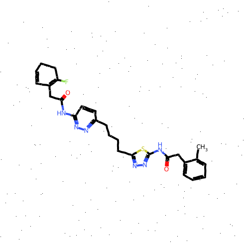 Cc1ccccc1CC(=O)Nc1nnc(CCCCc2ccc(NC(=O)CC3=C(F)CCC=C3)nn2)s1